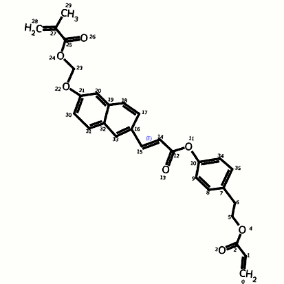 C=CC(=O)OCCc1ccc(OC(=O)/C=C/c2ccc3cc(OCOC(=O)C(=C)C)ccc3c2)cc1